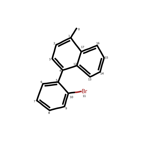 Cc1ccc(-c2ccccc2Br)c2ccccc12